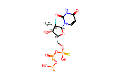 C[C@@]1(F)[C@H](O)[C@@H](COP(O)(=S)O[PH](=O)O[PH](=O)O)O[C@H]1n1ccc(=O)[nH]c1=O